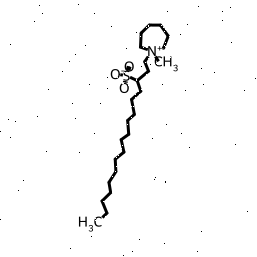 CCCCCCCCCCCCCCC(CC[N+]1(C)CCCCCC1)S(=O)(=O)[O-]